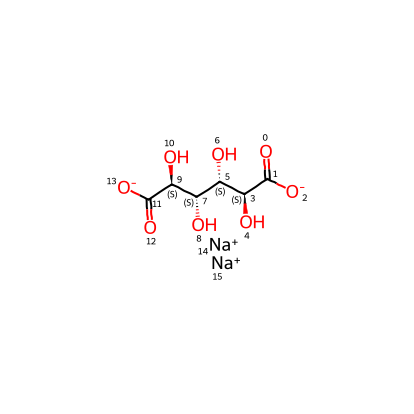 O=C([O-])[C@@H](O)[C@@H](O)[C@H](O)[C@H](O)C(=O)[O-].[Na+].[Na+]